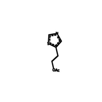 CC(=O)OCCc1cncs1